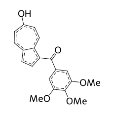 COc1cc(C(=O)c2ccc3ccc(O)ccc2-3)cc(OC)c1OC